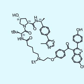 CCN(CCCCC(=O)N[C@H](C(=O)N1C[C@H](O)C[C@H]1C(=O)N[C@@H](C)c1ccc(-c2scnc2C)cc1)C(C)(C)C)CCOc1ccc(C(=O)c2c(-c3ccc(O)cc3)sc3cc(O)ccc23)cc1